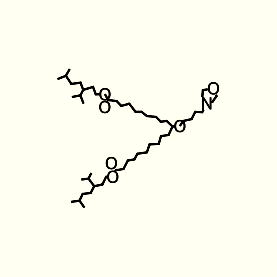 CC(C)CCC(CCOC(=O)CCCCCCCCCC(CCCCCCCCCC(=O)OCCC(CCC(C)C)C(C)C)OCCCCN1CCOCC1)C(C)C